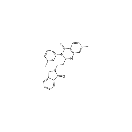 Cc1cccc(-n2c(CCN3Cc4ccccc4C3=O)nc3cc(C)ccc3c2=O)c1